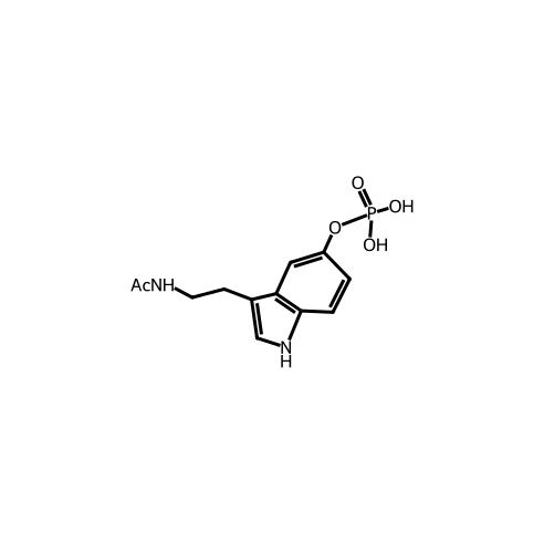 CC(=O)NCCc1c[nH]c2ccc(OP(=O)(O)O)cc12